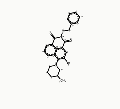 CC1CCCN(c2c(Br)cc3c4c(cccc24)C(=O)N(OCc2ccccc2)C3=O)C1